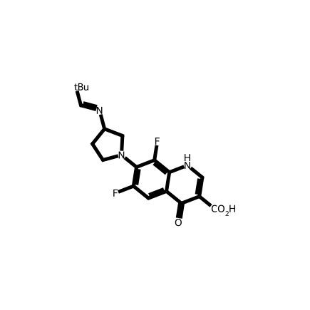 CC(C)(C)/C=N/C1CCN(c2c(F)cc3c(=O)c(C(=O)O)c[nH]c3c2F)C1